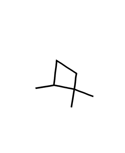 CC1CCC1(C)C